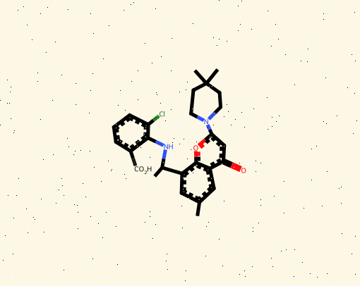 Cc1cc(C(C)Nc2c(Cl)cccc2C(=O)O)c2oc(N3CCC(C)(C)CC3)cc(=O)c2c1